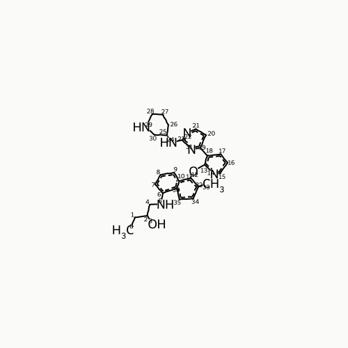 CCC(O)CNc1cccc2c(Oc3ncccc3-c3ccnc(N[C@H]4CCCNC4)n3)c(C)ccc12